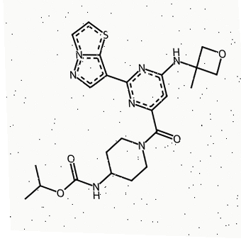 CC(C)OC(=O)NC1CCN(C(=O)c2cc(NC3(C)COC3)nc(-c3cnn4ccsc34)n2)CC1